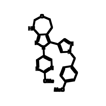 COc1ccc(Cn2cc(-c3c4c(nn3-c3cnc(OC)nc3)NCOCC4)cn2)cc1